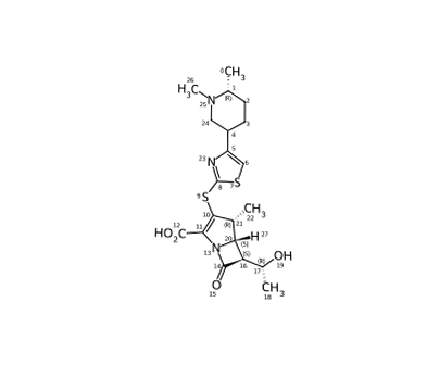 C[C@@H]1CCC(c2csc(SC3=C(C(=O)O)N4C(=O)[C@H]([C@@H](C)O)[C@H]4[C@H]3C)n2)CN1C